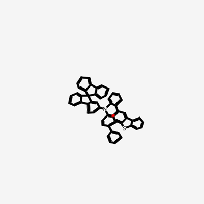 c1ccc(-c2ccc(N(c3ccc4c(c3)C3(c5ccccc5-c5ccccc53)c3ccccc3-4)c3ccccc3-c3ccc4sc5ccccc5c4c3)cc2)cc1